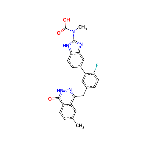 Cc1ccc2c(=O)[nH]nc(Cc3ccc(F)c(-c4ccc5[nH]c(N(C)C(=O)O)nc5c4)c3)c2c1